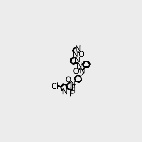 CN1CCN(c2cccc(-n3c(=O)n(C[C@H]4CC[C@H](NC(=O)c5cc(Cl)cnc5C(F)F)CC4)c4ccccc43)n2)C1=O